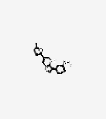 Cc1ccc(C2=Cn3ncc(-c4cccc(N)c4)c3NC2)o1